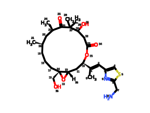 CC(=Cc1csc(CN)n1)[C@@H]1C[C@@H]2O[C@@]2(CO)CCC[C@H](C)C[C@@H](C)C(=O)C(C)(C)[C@@H](O)CC(=O)O1